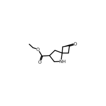 CCOC(=O)C1CNC2(CC(=O)C2)C1